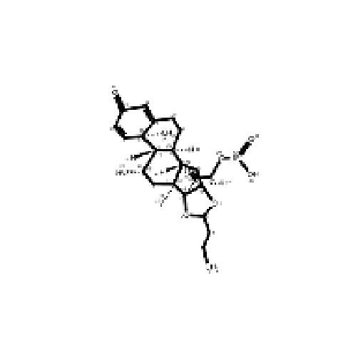 CCCC1O[C@@H]2C[C@H]3[C@@H]4CCC5=CC(=O)C=C[C@]5(C)[C@H]4[C@@H](O)C[C@]3(C)[C@]2(C(=O)CO[PH](=O)O)O1